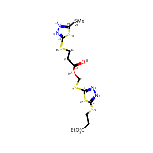 CCOC(=O)CCSc1nnc(SCOC(=O)CCSc2nnc(SC)s2)s1